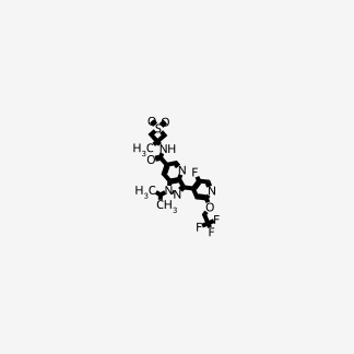 CC(C)n1nc(-c2cc(OCC(F)(F)F)ncc2F)c2ncc(C(=O)NC3(C)CS(=O)(=O)C3)cc21